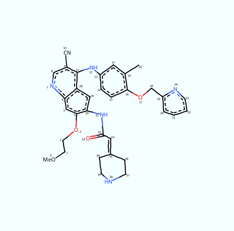 COCCOc1cc2ncc(C#N)c(Nc3ccc(OCc4ccccn4)c(C)c3)c2cc1NC(=O)C=C1CCNCC1